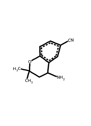 CC1(C)CC(N)c2cc(C#N)ccc2O1